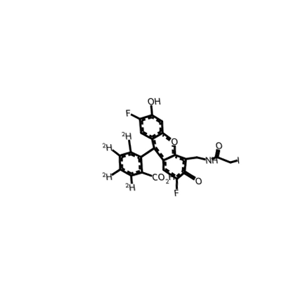 [2H]c1c([2H])c([2H])c(-c2c3cc(F)c(=O)c(CNC(=O)CI)c-3oc3cc(O)c(F)cc23)c(C(=O)O)c1[2H]